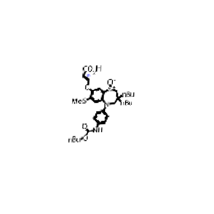 CCCCOC(=O)Nc1ccc(N2CC(CCCC)(CCCC)C[S+]([O-])c3cc(O/C=C/C(=O)O)c(SC)cc32)cc1